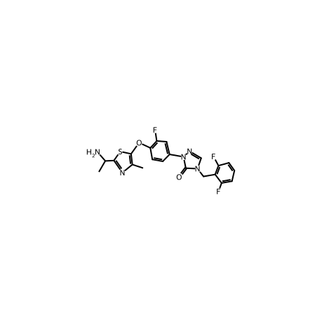 Cc1nc(C(C)N)sc1Oc1ccc(-n2ncn(Cc3c(F)cccc3F)c2=O)cc1F